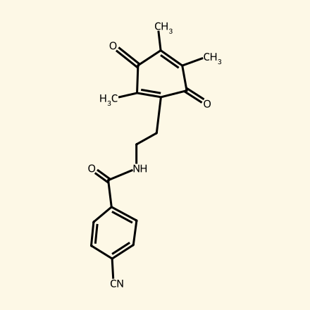 CC1=C(C)C(=O)C(CCNC(=O)c2ccc(C#N)cc2)=C(C)C1=O